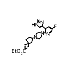 CCOC(=O)N1CC2(CC[C@@H](N3CCN(c4ncc(F)cc4-c4c[nH]nn4)CC3)C2)C1